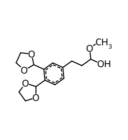 COC(O)CCc1ccc(C2OCCO2)c(C2OCCO2)c1